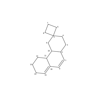 C1=CC2CCC3(CCC3)CC2C2CCCC=C12